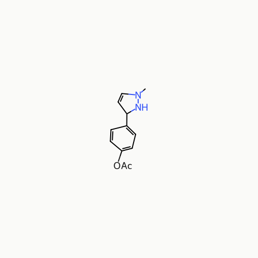 CC(=O)Oc1ccc(C2C=CN(C)N2)cc1